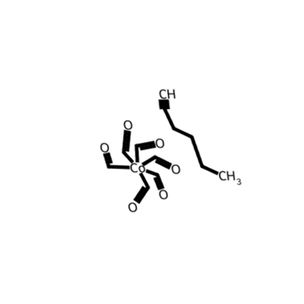 C#CCCCC.O=[CH][Co]([CH]=O)([CH]=O)([CH]=O)([CH]=O)[CH]=O